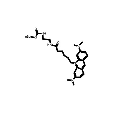 CCCCOC(=O)NCCNC(=O)CCCCC[n+]1c2cc(N(C)C)ccc2cc2ccc(N(C)C)cc21